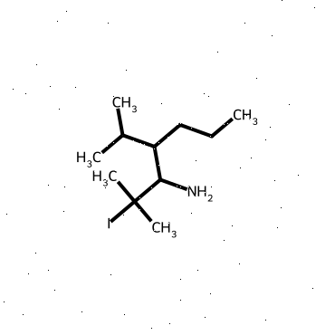 CCCC(C(C)C)C(N)C(C)(C)I